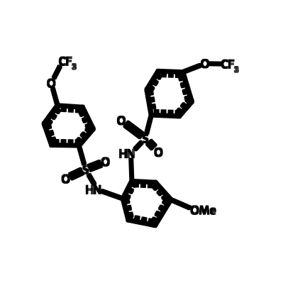 COc1ccc(NS(=O)(=O)c2ccc(OC(F)(F)F)cc2)c(NS(=O)(=O)c2ccc(OC(F)(F)F)cc2)c1